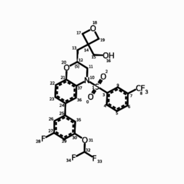 O=S(=O)(c1cccc(C(F)(F)F)c1)N1C[C@H](CC2(CO)COC2)Oc2ccc(-c3cc(F)cc(OC(F)F)c3)cc21